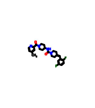 Cc1ccnc(C(=O)N2CCC(NC(=O)N3CCC(=Cc4cc(F)ccc4F)CC3)CC2)c1